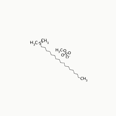 CCCCCCCCCCCCCCCCCC[S+](C)C.COS(=O)(=O)[O-]